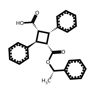 C[C@H](OC(=O)[C@H]1[C@@H](c2ccccc2)[C@@H](C(=O)O)[C@@H]1c1ccccc1)c1ccccc1